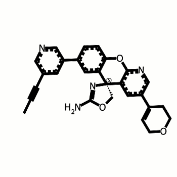 CC#Cc1cncc(-c2ccc3c(c2)[C@@]2(COC(N)=N2)c2cc(C4=CCOCC4)cnc2O3)c1